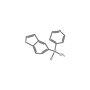 C[N+]([O-])(c1ccncc1)c1ccc2sccc2c1